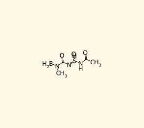 BN(C)C(=O)N=[SH](=O)NC(C)=O